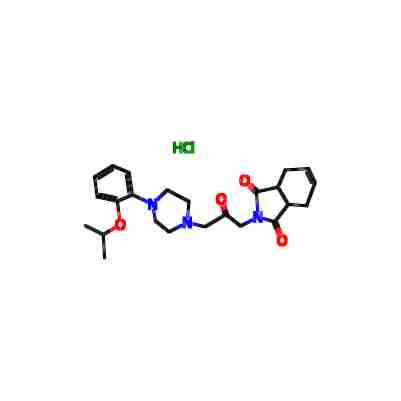 CC(C)Oc1ccccc1N1CCN(CC(=O)CN2C(=O)C3CC=CCC3C2=O)CC1.Cl